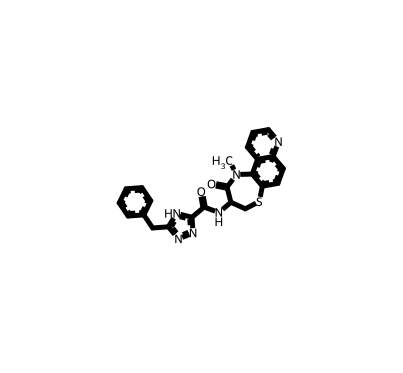 CN1C(=O)C(NC(=O)c2nnc(Cc3ccccc3)[nH]2)CSc2ccc3ncccc3c21